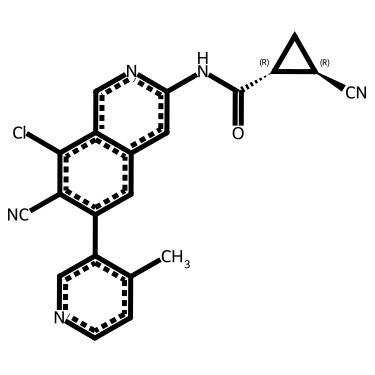 Cc1ccncc1-c1cc2cc(NC(=O)[C@@H]3C[C@H]3C#N)ncc2c(Cl)c1C#N